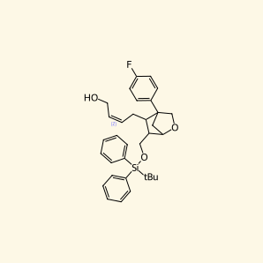 CC(C)(C)[Si](OCC1C2CC(c3ccc(F)cc3)(CO2)C1C/C=C\CO)(c1ccccc1)c1ccccc1